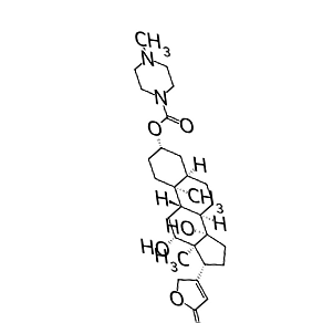 CN1CCN(C(=O)O[C@H]2CC[C@@]3(C)[C@H](CC[C@@H]4[C@@H]3C[C@@H](O)[C@]3(C)[C@@H](C5=CC(=O)OC5)CC[C@]43O)C2)CC1